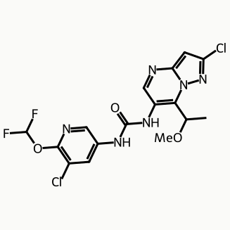 COC(C)c1c(NC(=O)Nc2cnc(OC(F)F)c(Cl)c2)cnc2cc(Cl)nn12